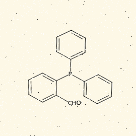 O=[C]c1ccccc1P(c1ccccc1)c1ccccc1